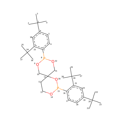 CC(C)(C)c1ccc(P2OCC3(CCOP(c4ccc(C(C)(C)C)cc4C(C)(C)C)O3)CO2)c(C(C)(C)C)c1